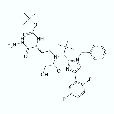 CC(C)(C)OC(=O)N[C@@H](CCN(C(=O)CO)[C@@H](c1nc(-c2cc(F)ccc2F)cn1Cc1ccccc1)C(C)(C)C)C(=O)NN